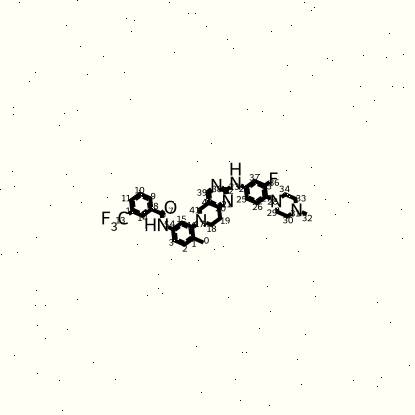 Cc1ccc(NC(=O)c2cccc(C(F)(F)F)c2)cc1N1CCc2nc(Nc3ccc(N4CCN(C)CC4)c(F)c3)ncc2C1